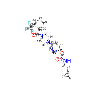 O=C(NCCC1CC1)Oc1ccc(N2CCN(C(=O)c3ccccc3C(F)(F)F)CC2)nn1